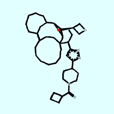 O=C(C1CCC1)N1CCC(c2cc(C3CNC4C5NN(C6COC6)C4C34CCCCCCCC(CC4)C3CCCCCC5C3)on2)CC1